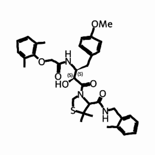 COc1ccc(C[C@H](NC(=O)COc2c(C)cccc2C)[C@H](O)C(=O)N2CSC(C)(C)C2C(=O)NCc2ccccc2C)cc1